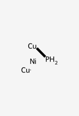 [Cu].[Ni].[PH2][Cu]